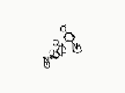 COc1ccc(N2CCCC2)c(NC(=O)c2ccc([N+](C)=O)o2)c1